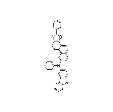 c1ccc(-c2nc3ccc4c5cc(N(c6ccccc6)c6ccc7sc8ccccc8c7c6)ccc5ccc4c3o2)cc1